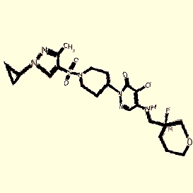 Cc1nn(C2CC2)cc1S(=O)(=O)N1CCC(n2ncc(NC[C@@]3(F)CCCOC3)c(Cl)c2=O)CC1